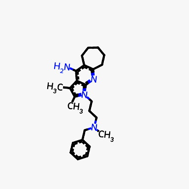 Cc1c(C)n(CCCN(C)Cc2ccccc2)c2nc3c(c(N)c12)CCCCC3